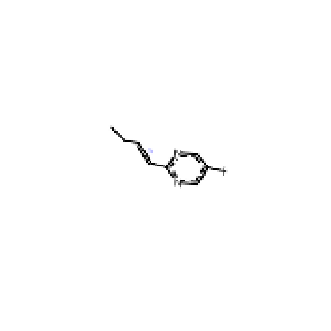 CC/C=C/c1ncc(F)cn1